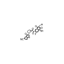 CC(C)n1c(=O)n(CC2CC2)c(=O)c2cc(C(=O)C(=O)N3CCCC(n4cnc5ccc(C#N)cc5c4=O)C3)c(F)cc21